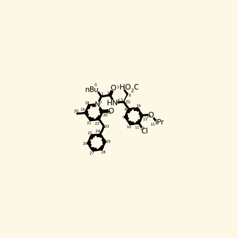 CCCCC(C(=O)N[C@@H](CC(=O)O)c1ccc(Cl)c(OC(C)C)c1)n1cc(C)cc(Cc2ccccc2)c1=O